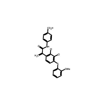 C=C(C(=O)Nc1ccc(C(=O)O)cc1)c1ccc(Sc2ccccc2OC)c(Cl)c1Cl